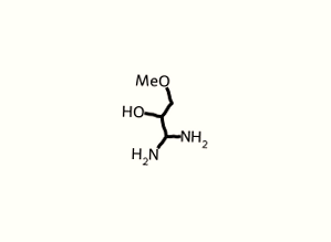 COCC(O)C(N)N